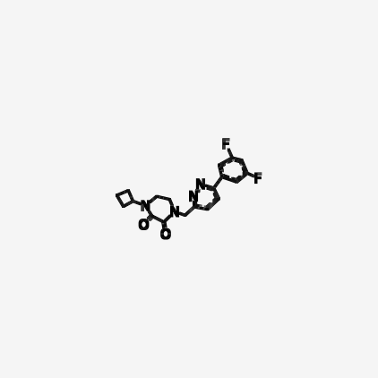 O=C1C(=O)N(C2CCC2)CCN1Cc1ccc(-c2cc(F)cc(F)c2)nn1